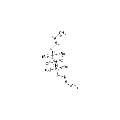 CC=CC[PH](C(C)(C)C)(C(C)(C)C)[Pd]([Cl])([Cl])[PH](CC=CC)(C(C)(C)C)C(C)(C)C